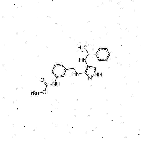 C[C@H](Nc1c[nH]nc1NCc1cccc(NC(=O)OC(C)(C)C)c1)c1ccccc1